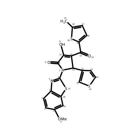 COc1ccc2nc(N3C(=O)C(O)=C(C(=O)c4ccc(C)s4)C3c3ccsc3)sc2c1